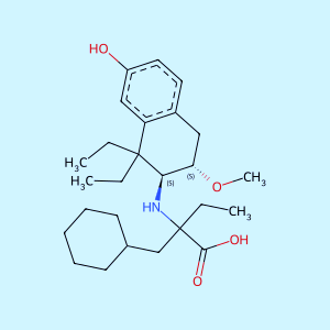 CCC(CC1CCCCC1)(N[C@@H]1[C@@H](OC)Cc2ccc(O)cc2C1(CC)CC)C(=O)O